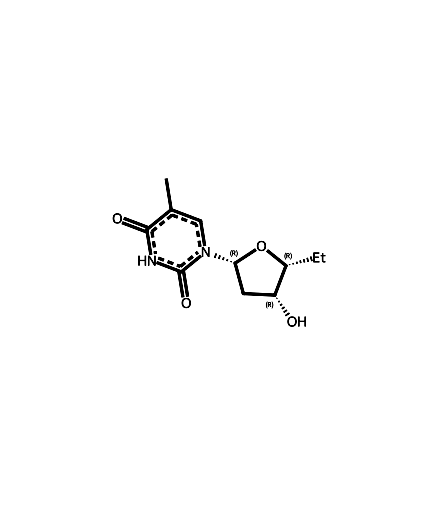 CC[C@H]1O[C@@H](n2cc(C)c(=O)[nH]c2=O)C[C@H]1O